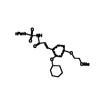 CCCCCS(=O)(=O)NC(=O)C=Cc1ccc(OCCOC)cc1OC1CCCCC1